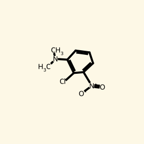 CN(C)c1cccc([N+](=O)[O-])c1Cl